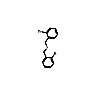 CCc1ccccc1CSCc1ccccc1CC